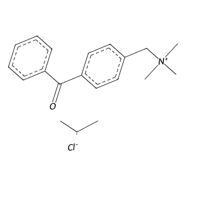 C[CH]C.C[N+](C)(C)Cc1ccc(C(=O)c2ccccc2)cc1.[Cl-]